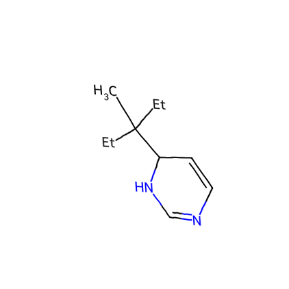 CCC(C)(CC)C1C=CN=CN1